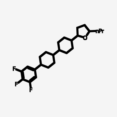 CCCC1CCC(C2CCC(C3CCC(c4cc(F)c(F)c(F)c4)CC3)CC2)O1